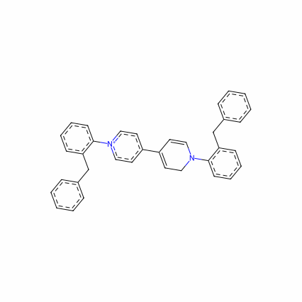 C1=CN(c2ccccc2Cc2ccccc2)CC=C1c1cc[n+](-c2ccccc2Cc2ccccc2)cc1